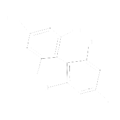 Cc1cc(C)c(-c2c(Cl)cc(Cl)cc2Cl)c(C)c1